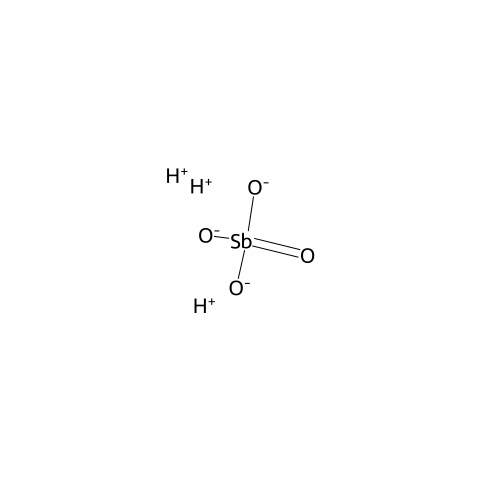 [H+].[H+].[H+].[O]=[Sb]([O-])([O-])[O-]